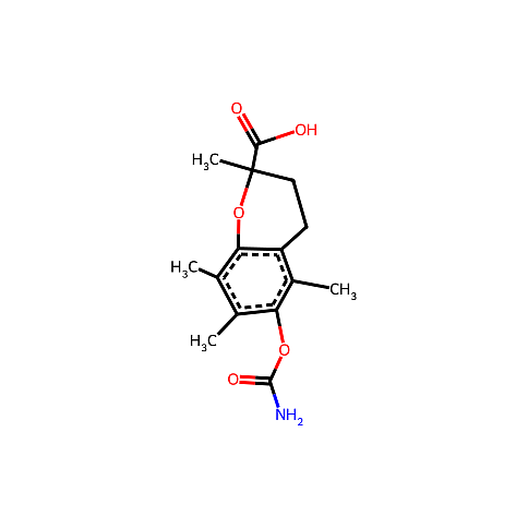 Cc1c(C)c2c(c(C)c1OC(N)=O)CCC(C)(C(=O)O)O2